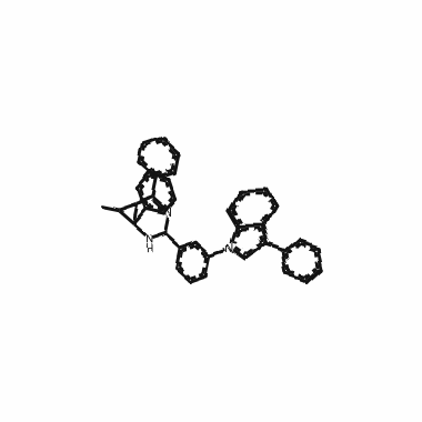 CC1C2C(c3ccccc3)=NC(c3cccc(-n4cc(-c5ccccc5)c5ccccc54)c3)NC12c1ccccc1